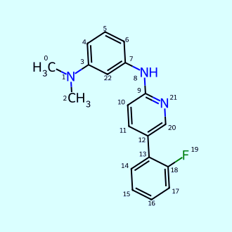 CN(C)c1cccc(Nc2ccc(-c3ccccc3F)cn2)c1